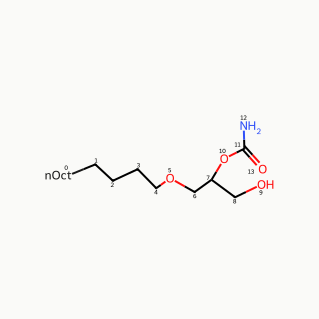 CCCCCCCCCCCCOCC(CO)OC(N)=O